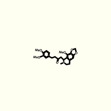 COc1ccc(CCC(=O)CC2c3c(cc4c(c3OC)OCO4)CCN2C)cc1OC